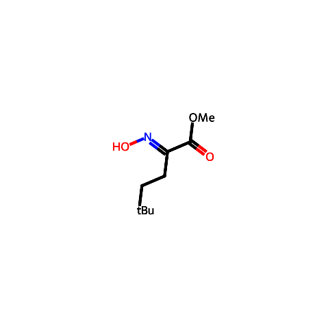 COC(=O)C(CCC(C)(C)C)=NO